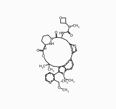 CCn1c(-c2cccnc2[C@H](C)OC)c2c3cc(ccc31)-c1csc(n1)C[C@H](NC(=O)N(C)C1COC1)C(=O)N1CCC[C@H](N1)C(=O)OCC(C)(C)C2